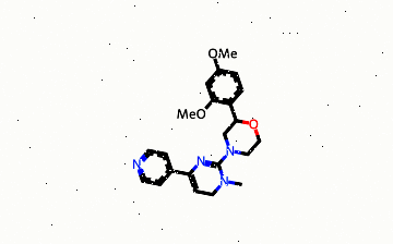 COc1ccc(C2CN(C3=NC(c4ccncc4)=CCN3C)CCO2)c(OC)c1